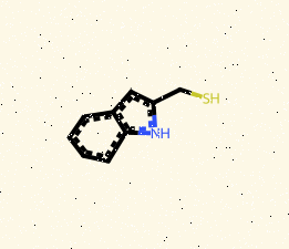 SCc1[c]c2ccccc2[nH]1